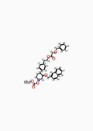 CC(C)(C)OC(=O)ON1CCC(c2ccc(CCOC(=O)COCc3ccccc3)cc2)C(OCc2ccc3ccccc3c2)C1